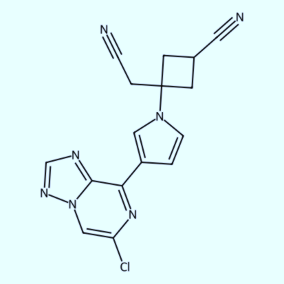 N#CCC1(n2ccc(-c3nc(Cl)cn4ncnc34)c2)CC(C#N)C1